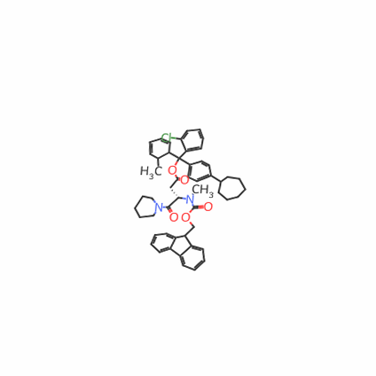 CC1C=CC=CC1C(OC(=O)C[C@@H](C(=O)N1CCCCC1)N(C)C(=O)OCC1c2ccccc2-c2ccccc21)(c1ccc(C2CCCCCC2)cc1)c1ccccc1Cl